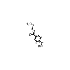 CCCOC(=O)c1ccc(CBr)cc1